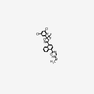 CON/C=N\C(=O)c1ccc(C2=NOC(c3cc(Cl)cc(Cl)c3)(C(F)(F)F)C2)c2ccccc12